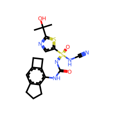 CC(C)(O)c1ncc(S(=O)(=NC(=O)Nc2c3c(cc4c2CC4)CCC3)NC#N)s1